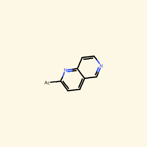 CC(=O)c1ccc2cnccc2n1